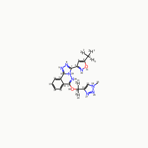 [2H]C([2H])([2H])c1cc(-c2nnc3c4ccccc4c(OC([2H])([2H])c4cn(C)nn4)nn23)no1